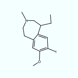 CCC1CN(C)CCc2cc(OC)c(I)cc21